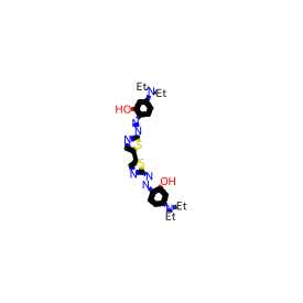 CCN(CC)c1ccc(/N=N/c2ncc(-c3cnc(/N=N/c4ccc(N(CC)CC)cc4O)s3)s2)c(O)c1